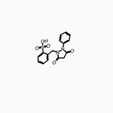 O=C1CC(=O)N(c2ccccc2)N1Cc1ccccc1S(=O)(=O)O